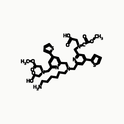 COC(=O)CN(CC(=O)O)Cc1cc(-c2cccs2)cc(CN(CCCCCCN)Cc2cc(-c3cccs3)cc(CN(CC(=O)O)CC(=O)OC)n2)n1